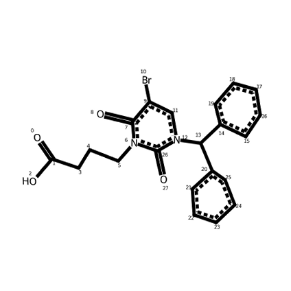 O=C(O)CCCn1c(=O)c(Br)cn(C(c2ccccc2)c2ccccc2)c1=O